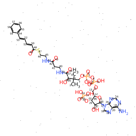 CC(C)(COP(=O)(O)OP(=O)(O)OC[C@H]1O[C@@H](n2cnc3c(N)ncnc32)[C@H](O)[C@@H]1OP(=O)(O)O)[C@@H](O)C(=O)NCCC(=O)NCCSC(=O)C=CC=Cc1ccccc1